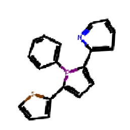 c1ccc(-p2c(-c3ccccn3)ccc2-c2cccs2)cc1